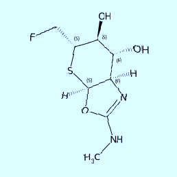 CNC1=N[C@@H]2[C@@H](O)[C@H](O)[C@@H](CF)S[C@@H]2O1